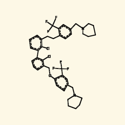 FC(F)(F)c1cc(CN2CCCCC2)ccc1CCc1cccc(-c2cccc(COc3ccc(CN4CCCCC4)cc3C(F)(F)F)c2Cl)c1Cl